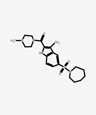 Cc1c(C(=O)N2CCN(C)CC2)[nH]c2ccc(S(=O)(=O)N3CCCCCC3)cc12